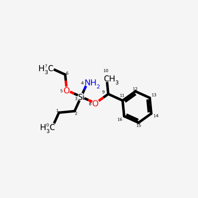 CCC[Si](N)(OCC)OC(C)c1ccccc1